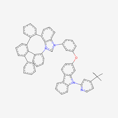 CC(C)(C)c1ccnc(-n2c3ccccc3c3ccc(Oc4cccc(-n5c[n+]6c7c(cccc75)-c5ccccc5-c5cccc(-c7ccccc7)c5-c5ccccc5-6)c4)cc32)c1